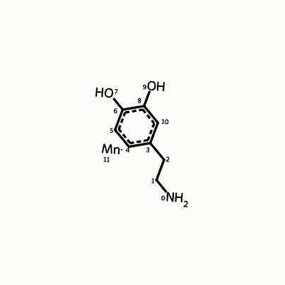 NCCc1ccc(O)c(O)c1.[Mn]